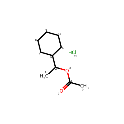 CC(=O)OC(C)C1CCCCC1.Cl